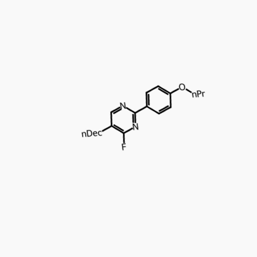 CCCCCCCCCCc1cnc(-c2ccc(OCCC)cc2)nc1F